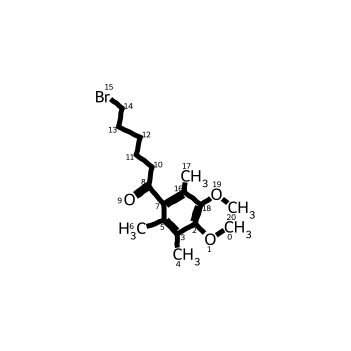 COc1c(C)c(C)c(C(=O)CCCCCBr)c(C)c1OC